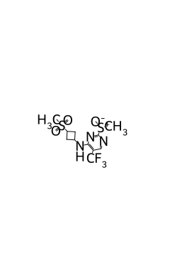 C[S+]([O-])c1ncc(C(F)(F)F)c(NC2CC(S(C)(=O)=O)C2)n1